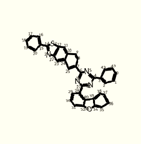 c1ccc(-c2nc(-c3ccc4cc5sc(-c6ccccc6)nc5cc4c3)nc(-c3cccc4oc5ccccc5c34)n2)cc1